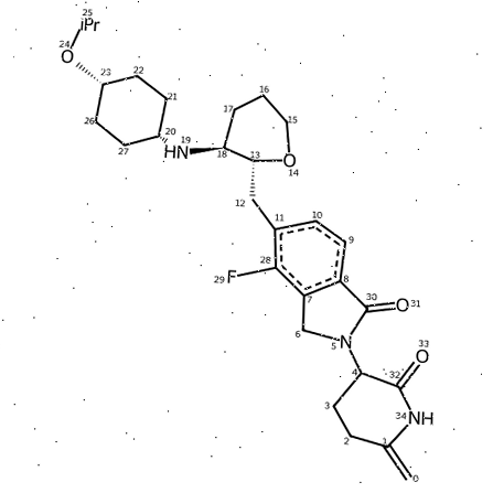 C=C1CCC(N2Cc3c(ccc(C[C@H]4OCCC[C@@H]4N[C@H]4CC[C@@H](OC(C)C)CC4)c3F)C2=O)C(=O)N1